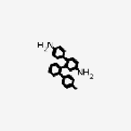 Cc1ccc(-c2ccccc2-c2cc(N)ccc2-c2ccc(N)cc2)cc1